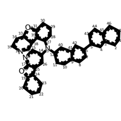 c1ccc2cc(-c3ccc4ccc(N(c5cnc6oc7ccccc7c6c5)c5cccc6oc7ccncc7c56)cc4c3)ccc2c1